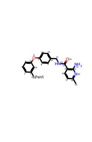 CCCCCc1cccc(Oc2ccc(CNC(=O)c3ccc(C)nc3N)cc2)c1